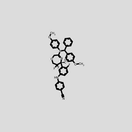 COc1ccc(C(c2ccccc2)N(C2=N[C@](C)(c3cc(Nc4ccc(C#N)cc4)ccc3F)C(F)(F)COC2)c2ccc(OC)cc2)cc1